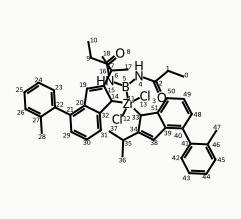 CCC(=O)N[B](NC(=O)CC)[Zr]([Cl])([Cl])([CH]1C(C(C)C)=Cc2c(-c3ccccc3C)cccc21)[CH]1C(C(C)C)=Cc2c(-c3ccccc3C)cccc21